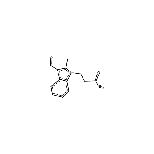 Cc1c(C=O)c2ccccc2n1CCC(N)=O